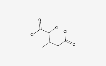 CC(CC(=O)Cl)C(Cl)C(=O)Cl